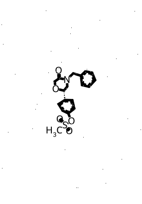 CS(=O)(=O)Oc1ccc([C@H]2CN(Cc3ccccc3)C(=O)CO2)cc1